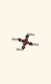 COc1ccc(-c2ccc([Si](c3ccc(-c4ccc(OC)cc4)cc3)(c3ccc(-c4ccc(OC)cc4)cc3)c3ccc(-c4ccc(OC)cc4)cc3)cc2)cc1